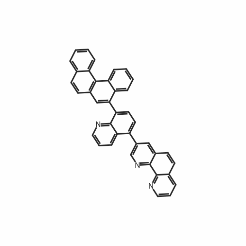 c1ccc2c(c1)ccc1cc(-c3ccc(-c4cnc5c(ccc6cccnc65)c4)c4cccnc34)c3ccccc3c12